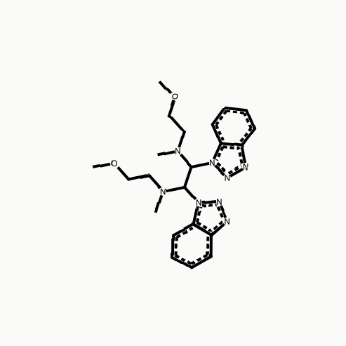 COCCN(C)C(C(N(C)CCOC)n1nnc2ccccc21)n1nnc2ccccc21